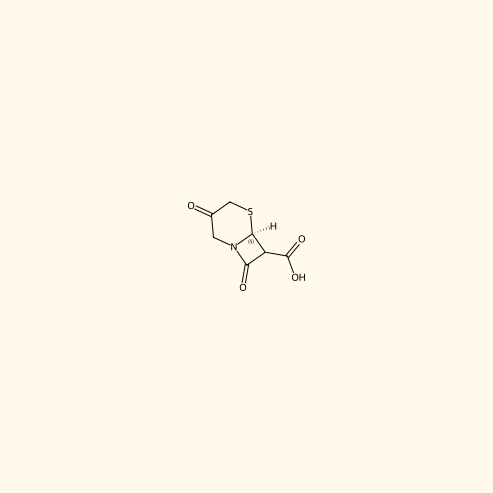 O=C1CS[C@H]2C(C(=O)O)C(=O)N2C1